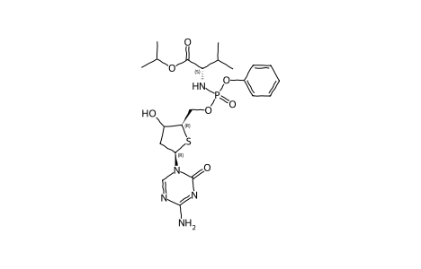 CC(C)OC(=O)[C@@H](NP(=O)(OC[C@H]1S[C@@H](n2cnc(N)nc2=O)CC1O)Oc1ccccc1)C(C)C